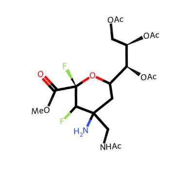 COC(=O)[C@]1(F)OC([C@H](OC(C)=O)[C@@H](COC(C)=O)OC(C)=O)CC(N)(CNC(C)=O)C1F